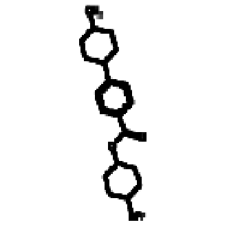 CCCC1CCC(OC(=O)c2ccc(C3CCC(C)CC3)cc2)CC1